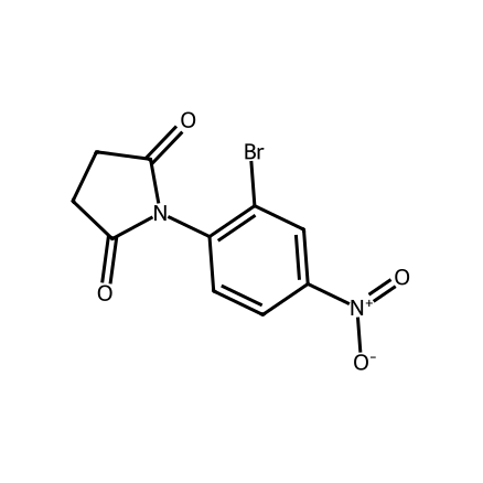 O=C1CCC(=O)N1c1ccc([N+](=O)[O-])cc1Br